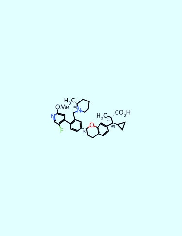 COc1cc(-c2ccc([C@H]3CCc4ccc([C@H](C5CC5)[C@H](C)C(=O)O)cc4O3)cc2CN2CCCC[C@H]2C)c(F)cn1